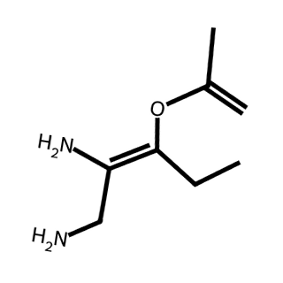 C=C(C)O/C(CC)=C(\N)CN